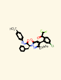 COc1nn([C@@H](Cc2ccccc2)C(=O)Nc2ccc(C(=O)O)cc2)c(=O)cc1-c1cc(Cl)ccc1C(=O)C(F)F